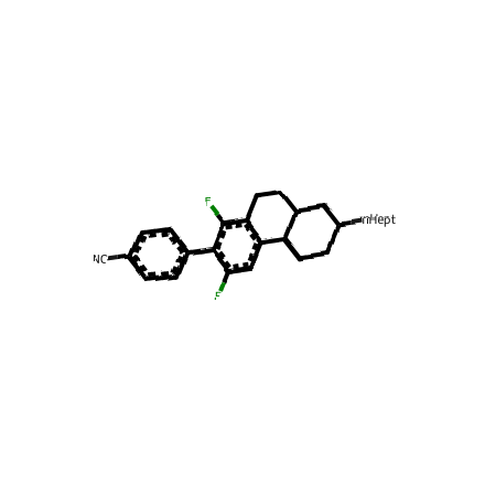 CCCCCCCC1CCC2c3cc(F)c(-c4ccc(C#N)cc4)c(F)c3CCC2C1